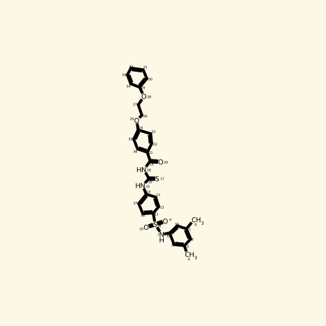 Cc1cc(C)cc(NS(=O)(=O)c2ccc(NC(=S)NC(=O)c3ccc(OCCOc4ccccc4)cc3)cc2)c1